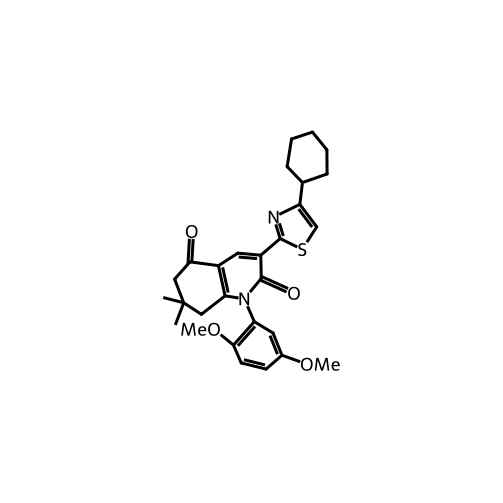 COc1ccc(OC)c(-n2c3c(cc(-c4nc(C5CCCCC5)cs4)c2=O)C(=O)CC(C)(C)C3)c1